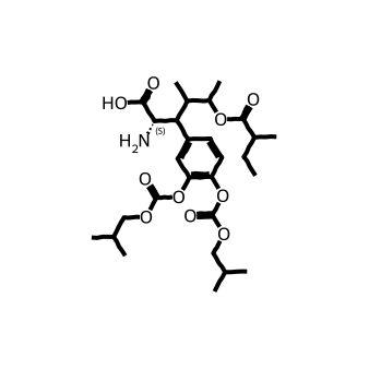 CCC(C)C(=O)OC(C)C(C)C(c1ccc(OC(=O)OCC(C)C)c(OC(=O)OCC(C)C)c1)[C@H](N)C(=O)O